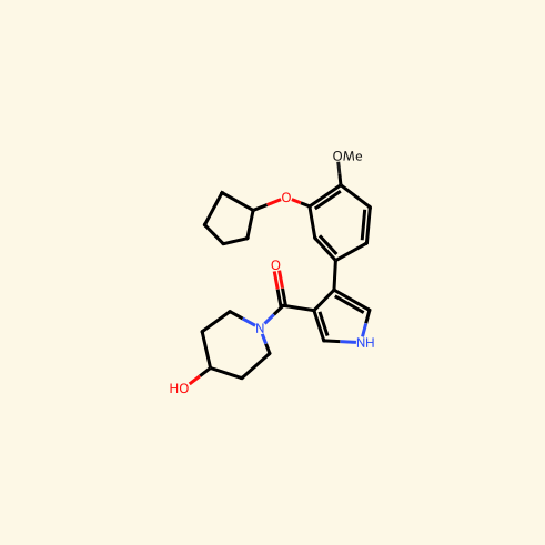 COc1ccc(-c2c[nH]cc2C(=O)N2CCC(O)CC2)cc1OC1CCCC1